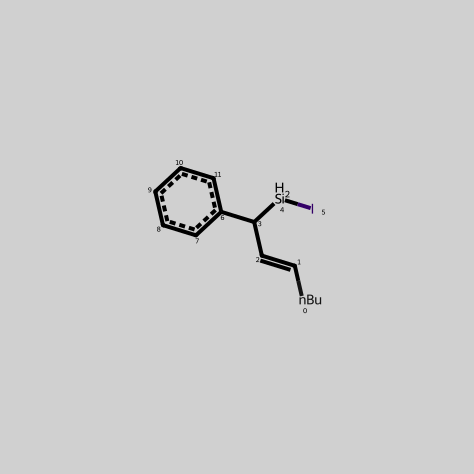 CCCC/C=C/C([SiH2]I)c1ccccc1